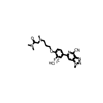 CN(CCCOc1ccc(-c2cc3c(nnn3C)c(C#N)n2)cc1C(F)(F)F)CC(=O)N(C)C.Cl